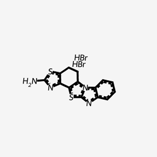 Br.Br.Nc1nc2c(s1)CCc1c-2sc2nc3ccccc3n12